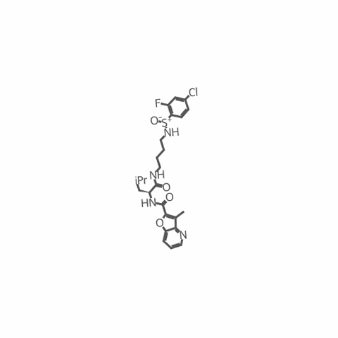 Cc1c(C(=O)N[C@@H](CC(C)C)C(=O)NCCCCN[S+]([O-])c2ccc(Cl)cc2F)oc2cccnc12